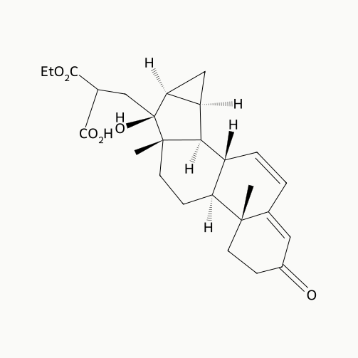 CCOC(=O)C(C[C@]1(O)[C@H]2C[C@H]2[C@H]2[C@@H]3C=CC4=CC(=O)CC[C@]4(C)[C@H]3CC[C@@]21C)C(=O)O